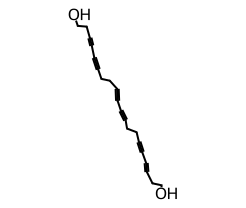 OCCC#CC#CCCC#CC#CCCC#CC#CCCO